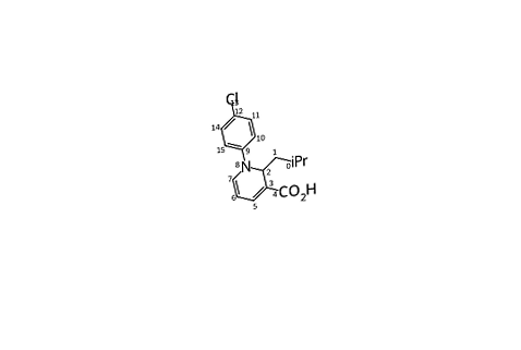 CC(C)CC1C(C(=O)O)=CC=CN1c1ccc(Cl)cc1